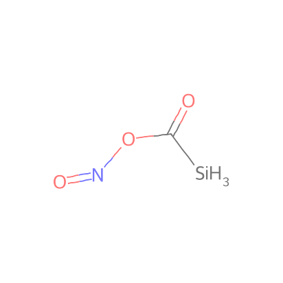 O=NOC(=O)[SiH3]